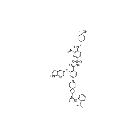 CC(C)c1ccccc1[C@H]1CCCN1C1CC2(CCN(c3ccc(C(=O)NS(=O)(=O)c4ccc(NC[C@H]5CC[C@](C)(O)CC5)c(N=O)n4)c(Oc4cnc5[nH]ccc5c4)c3)CC2)C1